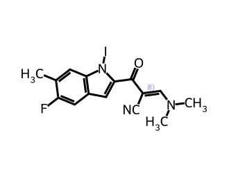 Cc1cc2c(cc1F)cc(C(=O)/C(C#N)=C/N(C)C)n2I